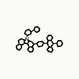 c1ccc(-c2cccc(-n3c4ccc5ccccc5c4c4c5ccccc5c(-c5ccc(-c6c7ccccc7c(-c7ccccc7)c7ccccc67)cc5)cc43)c2)cc1